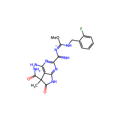 CO/C(=N/C(=N)c1nc(N)c2c(n1)NC(=O)C2(C)C(N)=O)NCc1ccccc1F